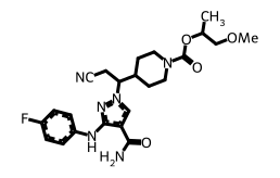 COCC(C)OC(=O)N1CCC(C(CC#N)n2cc(C(N)=O)c(Nc3ccc(F)cc3)n2)CC1